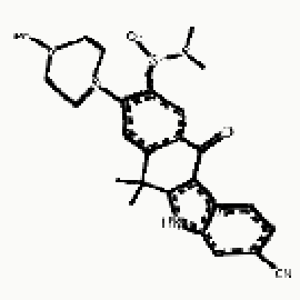 CC(C)N1CCN(c2cc3c(cc2[S+]([O-])N(C)C)C(=O)c2c([nH]c4cc(C#N)ccc24)C3(C)C)CC1